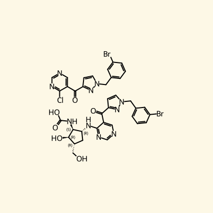 O=C(O)N[C@@H]1[C@H](O)[C@@H](CO)C[C@H]1Nc1ncncc1C(=O)c1ccn(Cc2cccc(Br)c2)n1.O=C(c1ccn(Cc2cccc(Br)c2)n1)c1cncnc1Cl